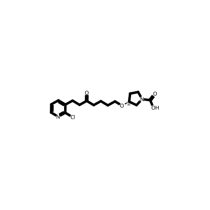 O=C(CCCCO[C@@H]1CCN(C(=O)O)C1)CCc1cccnc1Cl